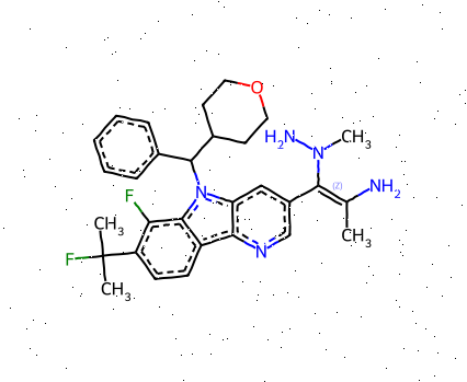 C/C(N)=C(\c1cnc2c3ccc(C(C)(C)F)c(F)c3n(C(c3ccccc3)C3CCOCC3)c2c1)N(C)N